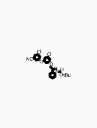 CC(C)(C)OC(=O)n1nc(COc2cc(Cl)cc(Oc3cc(Cl)cc(C#N)c3)c2)c2ccccc21